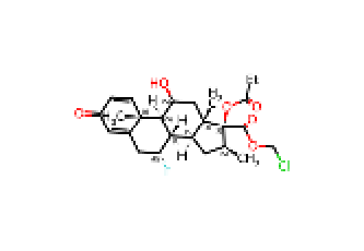 CCC(=O)O[C@@]1(C(=O)OCCl)[C@@H](C)C[C@H]2[C@H]3[C@H]([C@@H](O)C[C@@]21C)[C@@]1(C)C=CC(=O)C=C1C[C@H]3F